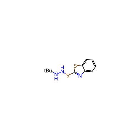 CC(C)(C)NNSc1nc2ccccc2s1